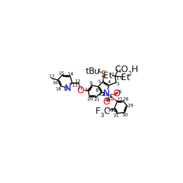 CCC(CC)(Cc1c(SC(C)(C)C)c2cc(OCc3ccc(C)cn3)ccc2n1S(=O)(=O)c1ccccc1C(F)(F)F)C(=O)O